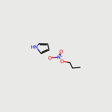 CCCO[N+](=O)[O-].c1cc[nH]c1